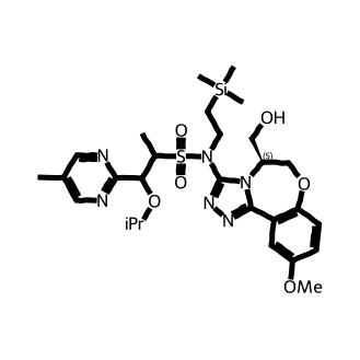 COc1ccc2c(c1)-c1nnc(N(CC[Si](C)(C)C)S(=O)(=O)C(C)C(OC(C)C)c3ncc(C)cn3)n1[C@@H](CO)CO2